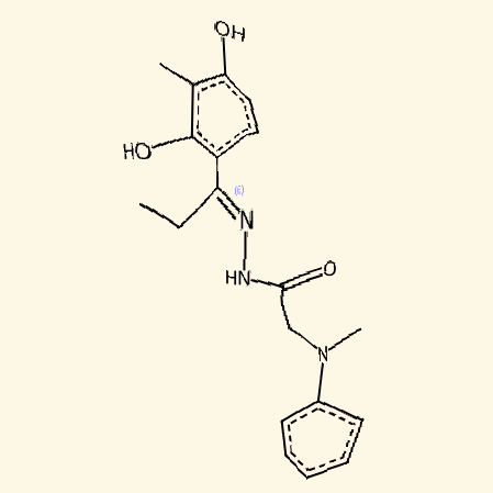 CC/C(=N\NC(=O)CN(C)c1ccccc1)c1ccc(O)c(C)c1O